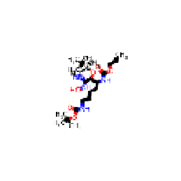 C=CCOC(=O)NC(CCCCNC(=O)OC(C)(C)C)C(O[Si](C)(C)C(C)(C)C)C(=N)NO